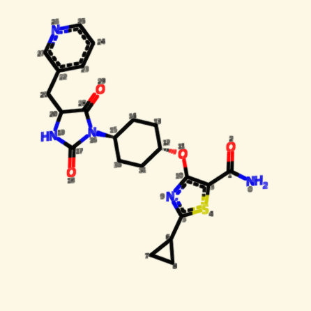 NC(=O)c1sc(C2CC2)nc1O[C@H]1CC[C@H](N2C(=O)NC(Cc3cccnc3)C2=O)CC1